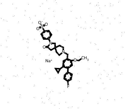 CCOc1cc(-c2ccc(F)cc2)c(C2CC2)cc1CN1CCC2(CC1)CC(=O)N(c1ccc(S(=O)(=O)[O-])cc1)C2.[Na+]